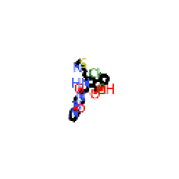 O=CN1C2CCC1CC(N1CCN(C(=O)CC3=C(C(=O)O)C(c4c(Cl)cccc4Cl)C=C(CCc4nccs4)N3)CC1)C2